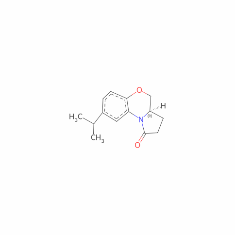 CC(C)c1ccc2c(c1)N1C(=O)CC[C@@H]1CO2